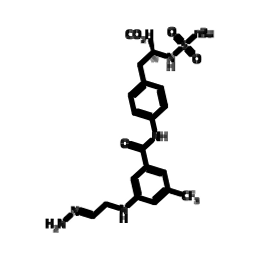 CCCCS(=O)(=O)N[C@@H](Cc1ccc(NC(=O)c2cc(NCC=NN)cc(C(F)(F)F)c2)cc1)C(=O)O